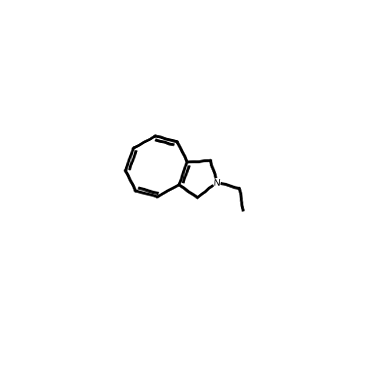 CCN1CC2=C(\C=C/C=C\C=C/2)C1